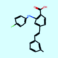 Cc1cccc(C=Cc2ccc(C(=O)O)c(Nc3ccc(F)cc3)c2)c1